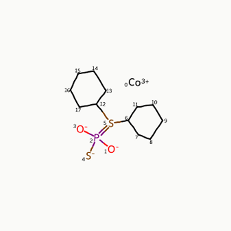 [Co+3].[O-]P([O-])([S-])=S(C1CCCCC1)C1CCCCC1